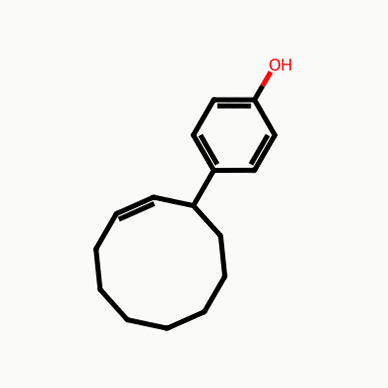 Oc1ccc(C2C=CCCCCCCC2)cc1